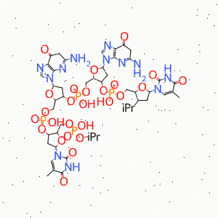 Cc1cn(C2CC(OP(=O)(O)OCC3OC(n4cnc5c4N=C(N)CC5=O)CC3OP(=O)(O)OCC3OC(n4cnc5c4N=C(N)CC5=O)CC3OP(=O)(O)OCC3OC(n4cc(C)c(=O)[nH]c4=O)CC3C(C)C)C(COP(=O)(O)OC(C)C)O2)c(=O)[nH]c1=O